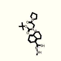 CN/N=C(\S)c1cccc2c1CCC[C@H]2N(CC(=O)N1CCCC1)C(=O)OC(C)(C)C